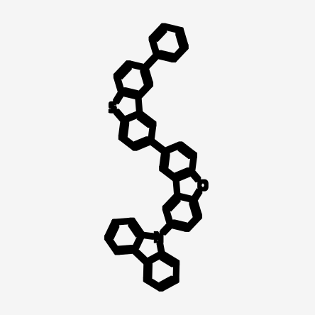 c1ccc(-c2ccc3sc4ccc(-c5ccc6oc7ccc(-n8c9ccccc9c9ccccc98)cc7c6c5)cc4c3c2)cc1